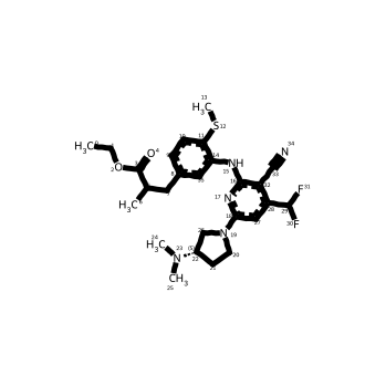 CCOC(=O)C(C)Cc1ccc(SC)c(Nc2nc(N3CC[C@H](N(C)C)C3)cc(C(F)F)c2C#N)c1